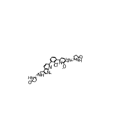 COc1nc(-c2cccc(-c3ccc4c(CNC[C@@H]5CCC(=O)N5)cn(C)c4n3)c2Cl)ccc1CNC[C@@H]1CCC(=O)N1